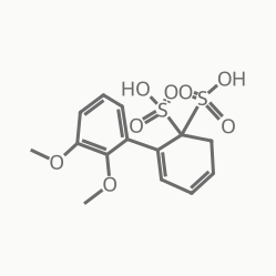 COc1cccc(C2=CC=CCC2(S(=O)(=O)O)S(=O)(=O)O)c1OC